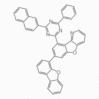 c1ccc(-c2nc(-c3ccc4ccccc4c3)nc(-c3cc(-c4cccc5c4oc4ccccc45)cc4oc5cccnc5c34)n2)cc1